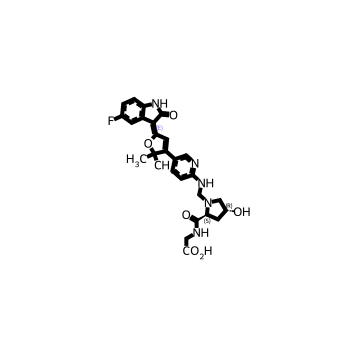 CC1(C)O/C(=C2/C(=O)Nc3ccc(F)cc32)C=C1c1ccc(NCN2C[C@H](O)C[C@H]2C(=O)NCC(=O)O)nc1